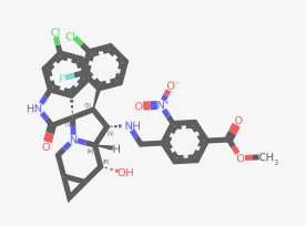 COC(=O)c1ccc(CN[C@@H]2[C@@H]3[C@H](O)C4CC4CN3[C@@]3(C(=O)Nc4cc(Cl)ccc43)[C@H]2c2cccc(Cl)c2F)c([N+](=O)[O-])c1